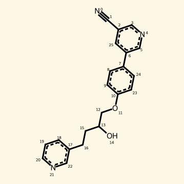 N#Cc1cncc(-c2ccc(OCC(O)CCc3cccnc3)cc2)c1